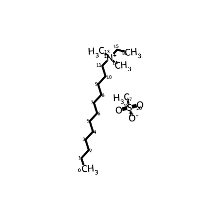 CCCCCCCCCCCC[N+](C)(C)CC.CS(=O)(=O)[O-]